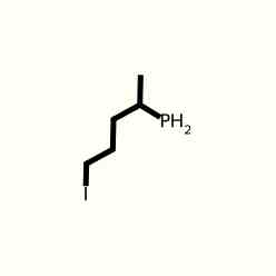 CC(P)CCCI